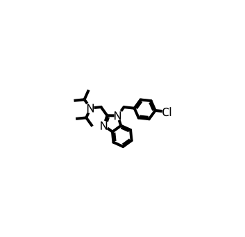 CC(C)N(Cc1nc2ccccc2n1Cc1ccc(Cl)cc1)C(C)C